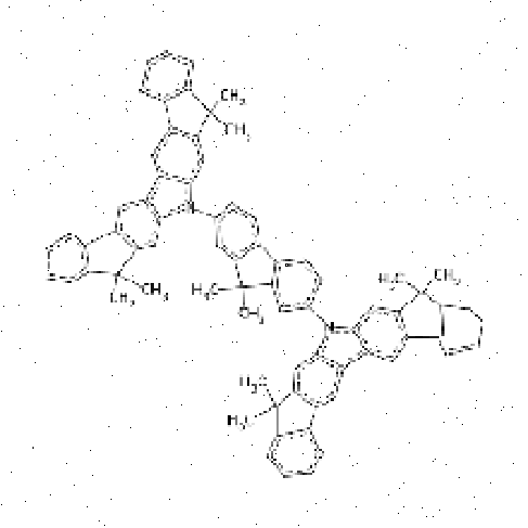 CC1(C)C2=C(C=CCC2)c2cc3c4cc5c(cc4n(-c4ccc6c(c4)C(C)(C)c4cc(-n7c8cc9c(cc8c8cc%10c(cc87)C(C)(C)c7ccccc7-%10)-c7ccccc7C9(C)C)ccc4-6)c3cc21)C(C)(C)c1ccccc1-5